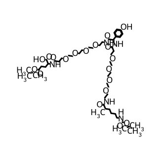 CC(CCCCNC(=O)OC(C)(C)C)C(=O)NCCOCCOCCOCCOCCC(=O)NC(C(=O)NCCOCCOCCOCCOCCC(=O)NC(CCC(=O)OC(C)(C)C)C(=O)O)c1ccc(O)cc1